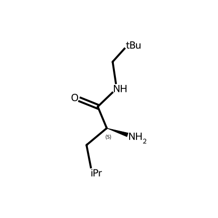 CC(C)C[C@H](N)C(=O)NCC(C)(C)C